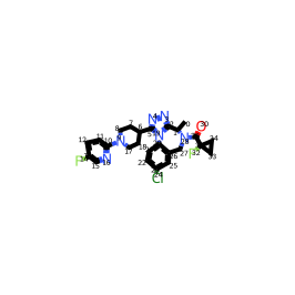 CC1c2nnc(C3CCN(c4ccc(F)cn4)CC3)n2-c2ccc(Cl)cc2CN1C(=O)C1(F)CC1